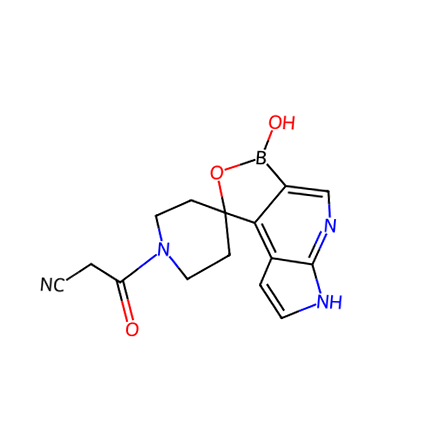 N#CCC(=O)N1CCC2(CC1)OB(O)c1cnc3[nH]ccc3c12